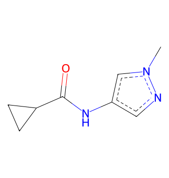 Cn1cc(NC(=O)C2CC2)cn1